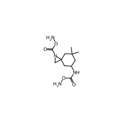 CC1(C)CC(NC(=O)ON)CC2(CN2C(=O)ON)C1